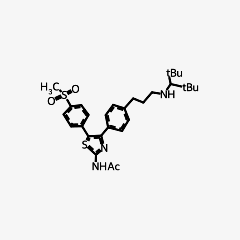 CC(=O)Nc1nc(-c2ccc(CCCNC(C(C)(C)C)C(C)(C)C)cc2)c(-c2ccc(S(C)(=O)=O)cc2)s1